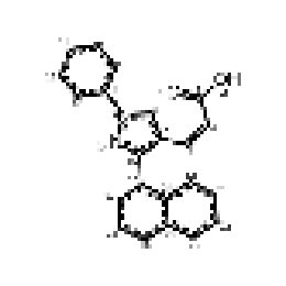 O=C(O)/C=C\c1cn(-c2ccccc2)nc1-c1cccc2ccccc12